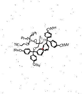 COc1ccc(C(OCC(C)(COP(OCCC#N)N(C(C)C)C(C)C)COC(c2ccccc2)(c2ccc(OC)cc2)c2ccc(OC)cc2)(c2ccccc2)c2ccc(OC)cc2)cc1